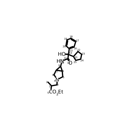 CCOC(=O)C(C)CN1CC2C(C1)C2NC(=O)C(O)(c1ccccc1)C1CCCC1